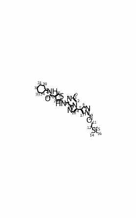 Cc1cn2c(-c3cnn(COCC[Si](C)(C)C)c3)cnc2c(Nc2cc(C(=O)NC3CCCCC3)cs2)n1